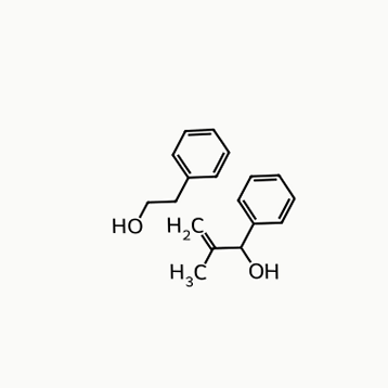 C=C(C)C(O)c1ccccc1.OCCc1ccccc1